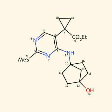 CCOC(=O)C1(c2cnc(SC)nc2NC23CCC(O)(CC2)C3)CC1